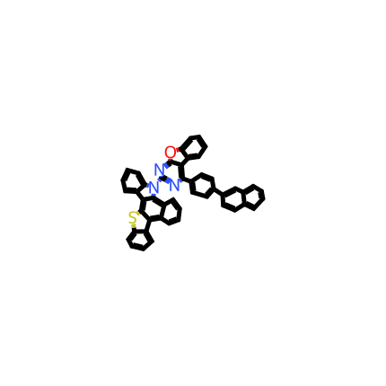 c1ccc2cc(-c3ccc(-c4nc(-n5c6ccccc6c6c7sc8ccccc8c7c7ccccc7c65)nc5oc6ccccc6c45)cc3)ccc2c1